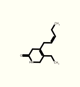 CC/C=C\CC1=C(CC)CNC(=O)C1